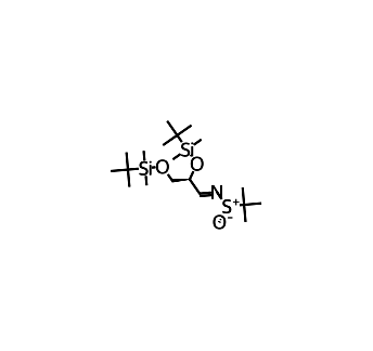 CC(C)(C)[S@+]([O-])N=C[C@@H](CO[Si](C)(C)C(C)(C)C)O[Si](C)(C)C(C)(C)C